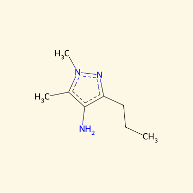 CCCc1nn(C)c(C)c1N